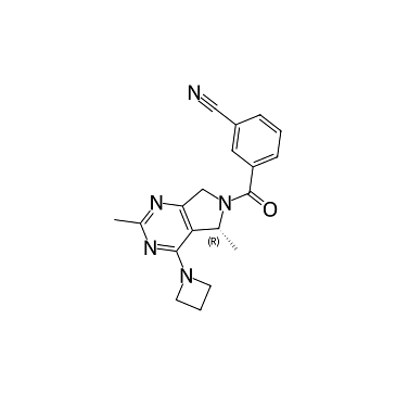 Cc1nc2c(c(N3CCC3)n1)[C@@H](C)N(C(=O)c1cccc(C#N)c1)C2